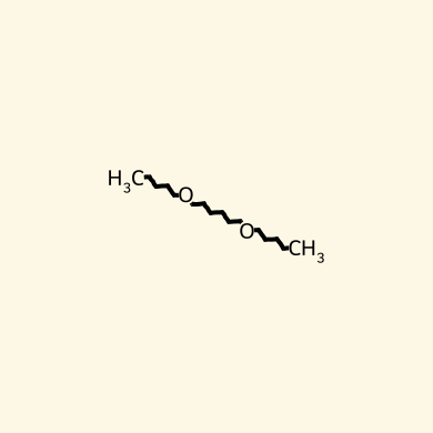 CCCCCOCCCCCCOCCCCC